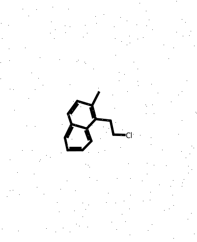 Cc1ccc2ccccc2c1CCCl